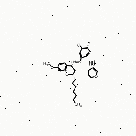 C1=COCCC1.CCCCCCC[C@H]1C[C@@H](NCc2ccc(F)c(Cl)c2)c2ccc(OC)cc2O1.Cl.Cl